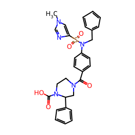 Cn1cnc(S(=O)(=O)N(Cc2ccccc2)c2ccc(C(=O)N3CCN(C(=O)O)C(c4ccccc4)C3)cc2)c1